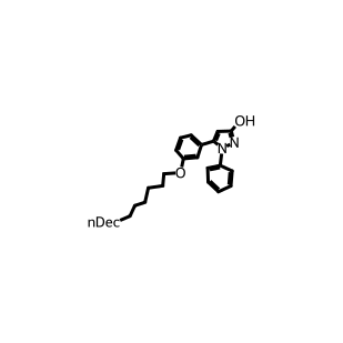 CCCCCCCCCCCCCCCCOc1cccc(-c2cc(O)nn2-c2ccccc2)c1